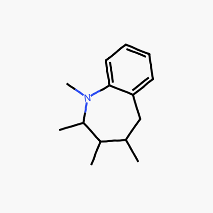 CC1Cc2ccccc2N(C)C(C)C1C